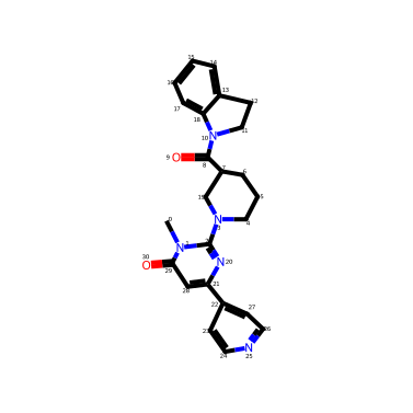 Cn1c(N2CCCC(C(=O)N3CCc4ccccc43)C2)nc(-c2ccncc2)cc1=O